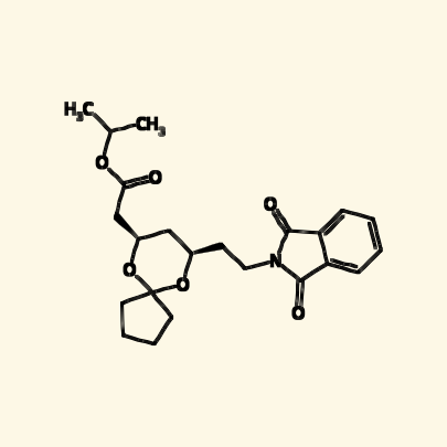 CC(C)OC(=O)C[C@H]1C[C@@H](CCN2C(=O)c3ccccc3C2=O)OC2(CCCC2)O1